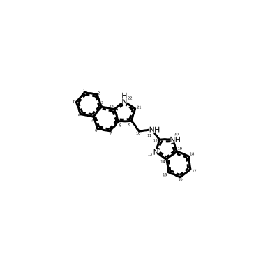 c1ccc2c(c1)ccc1c(CNc3nc4ccccc4[nH]3)c[nH]c12